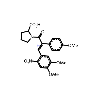 COc1ccc(/C(=C\c2cc(OC)c(OC)cc2[N+](=O)[O-])C(=O)N2CCCC2C(=O)O)cc1